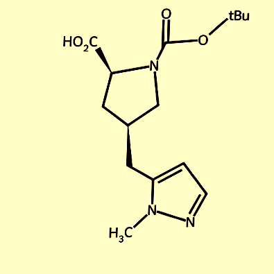 Cn1nccc1C[C@H]1C[C@@H](C(=O)O)N(C(=O)OC(C)(C)C)C1